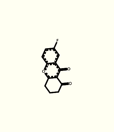 O=C1CCCc2oc3ccc(F)cc3c(=O)c21